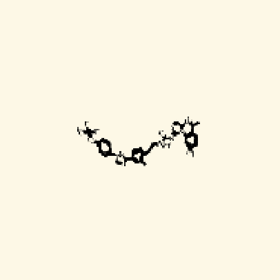 Cc1cc(-c2ncn(-c3ccc(OC(F)(F)F)cc3)n2)ccc1CCNC(=O)/N=C1\SCC(=O)N1c1cc(Cl)ccc1C(C)C